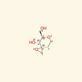 OC[C@H]1OCC[C@@]2(CO2)[C@@H]1O